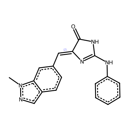 Cn1ncc2ccc(/C=C3\N=C(Nc4ccccc4)NC3=O)cc21